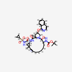 CC(C)(C)OC(=O)N[C@H]1CCCCC/C=C\[C@@H]2C[C@@]2(C(=O)NS(=O)(=O)C2CC2)NC(=O)[C@@H]2C[C@@H](Oc3nccc4ccccc34)CN2C1=O